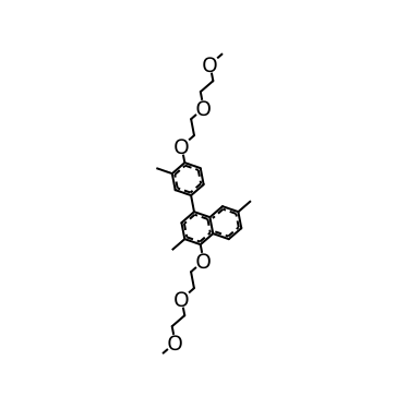 COCCOCCOc1ccc(-c2cc(C)c(OCCOCCOC)c3ccc(C)cc23)cc1C